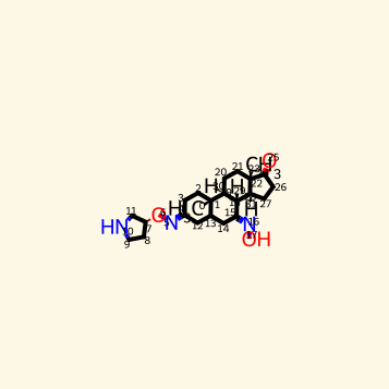 C[C@]12CCC(=NO[C@@H]3CCNC3)CC1C/C(=N\O)[C@@H]1[C@@H]2CC[C@]2(C)C(=O)CC[C@@H]12